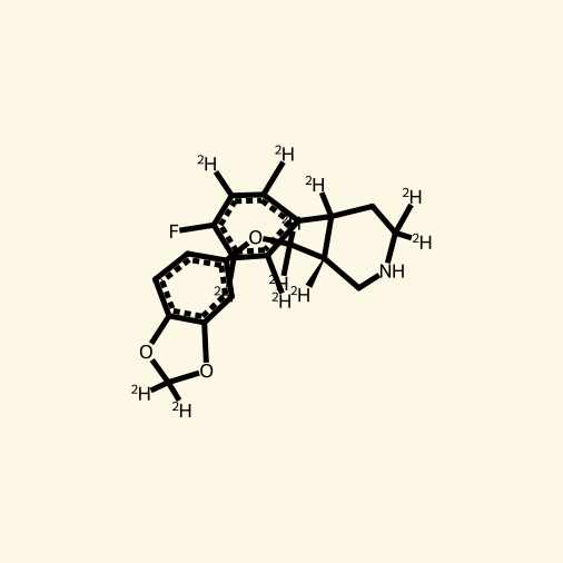 [2H]c1c([2H])c(C2([2H])CC([2H])([2H])NC[C@]2([2H])C([2H])([2H])Oc2ccc3c(c2)OC([2H])([2H])O3)c([2H])c([2H])c1F